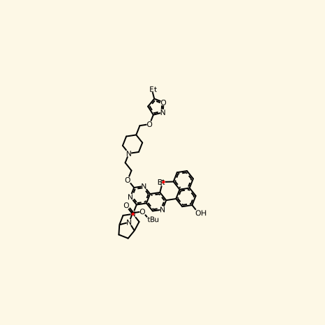 CCc1cc(OCC2CCN(CCOc3nc(N4CC5CCC(C4)N5C(=O)OC(C)(C)C)c4cnc(-c5cc(O)cc6cccc(CC)c56)c(F)c4n3)CC2)no1